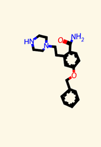 NC(=O)c1ccc(OCc2ccccc2)cc1CCN1CCNCC1